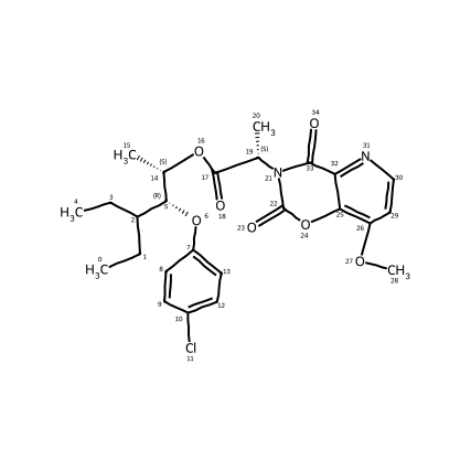 CCC(CC)[C@@H](Oc1ccc(Cl)cc1)[C@H](C)OC(=O)[C@H](C)n1c(=O)oc2c(OC)ccnc2c1=O